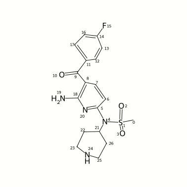 CS(=O)(=O)N(c1ccc(C(=O)c2ccc(F)cc2)c(N)n1)C1CCNCC1